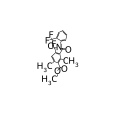 CCOC(=O)c1c(C)cc2c(c1C)C(=O)N(c1ccccc1C(F)(F)F)C2=O